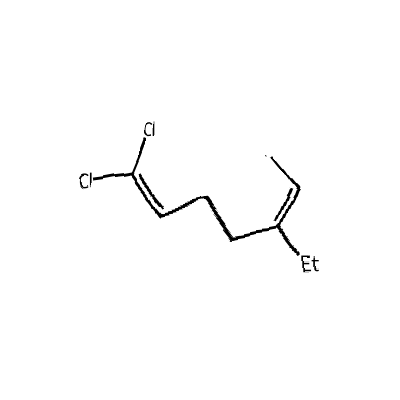 [CH2]C=C(CC)CCC=C(Cl)Cl